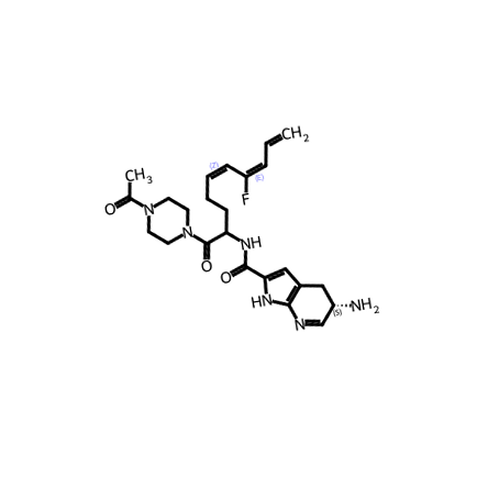 C=C/C=C(F)\C=C/CCC(NC(=O)c1cc2c([nH]1)N=C[C@@H](N)C2)C(=O)N1CCN(C(C)=O)CC1